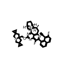 C#Cc1c(F)ccc2cccc(-c3nc4c5c(nc(OCC67CC8(CC8)CN6CC6(CC6)C7)nc5c3F)N3C[C@H]5CC[C@H](N5)[C@@H]3[C@@H](C)C4)c12